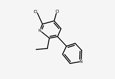 CCc1nc(Cl)c(Cl)cc1-c1ccncc1